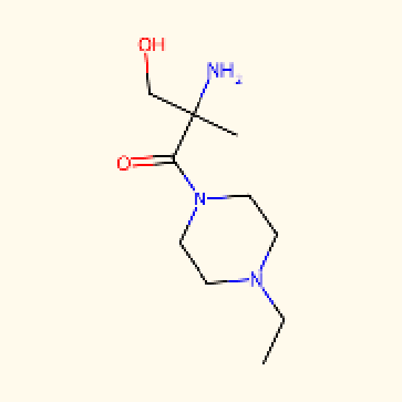 CCN1CCN(C(=O)C(C)(N)CO)CC1